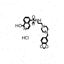 Cl.O=S(=O)(NCCN1CCN(Cc2ccc3c(c2)OCO3)CC1)c1cccc2c(O)nccc12